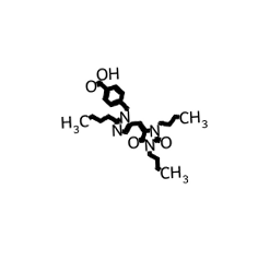 CCCCc1ncc(/C=C2\C(=O)N(CCCC)C(=O)N2CCCC)n1Cc1ccc(C(=O)O)cc1